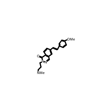 CNCCCn1ncc2cc(C=Cc3ccc(OC)cc3)ccc2c1=O